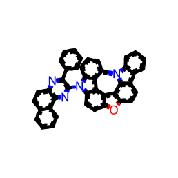 c1ccc(-c2nc3ccc4ccccc4c3nc2-n2c3ccc4oc5ccc6c7ccccc7n7c8cccc2c8c3c4c5c67)cc1